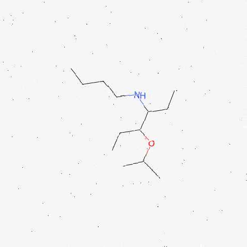 [CH2]CC(NCCCC)C(CC)OC(C)C